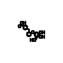 O=C(O)c1ccc(Cc2ccccc2O[C@@H]2C[C@H](CO)[C@@H](O)[C@H](O)C2)cc1